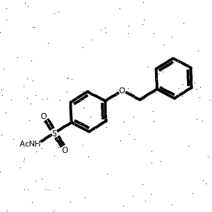 CC(=O)NS(=O)(=O)c1ccc(OCc2ccccc2)cc1